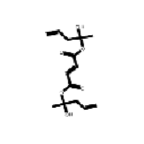 C=CCC(C)(O)OC(=O)/C=C/C(=O)OC(C)(O)CC=C